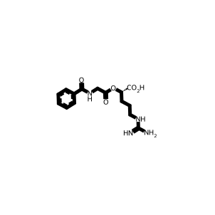 N=C(N)NCCC[C@H](OC(=O)CNC(=O)c1ccccc1)C(=O)O